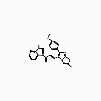 COc1ccc(-c2nc3sc(C)cn3c2/C=C/C(=O)c2c[nH]c3ccccc23)cc1